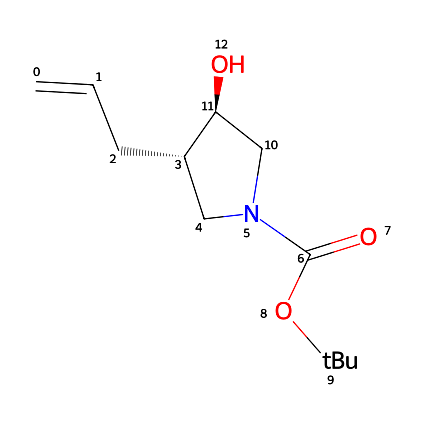 C=CC[C@H]1CN(C(=O)OC(C)(C)C)C[C@@H]1O